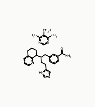 Cc1ncnc(C)c1C(=O)O.NC(=O)c1cccc(CN(CCc2cnc[nH]2)C2CCCc3cccnc32)c1